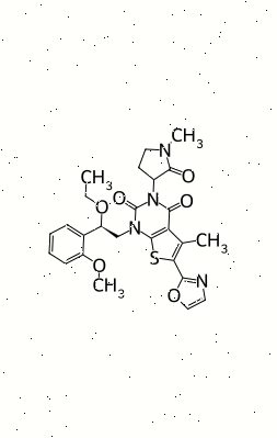 CCO[C@@H](Cn1c(=O)n(C2CCN(C)C2=O)c(=O)c2c(C)c(-c3ncco3)sc21)c1ccccc1OC